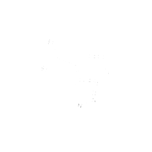 CCC(c1cccc2c1cnn2C)C(C)C